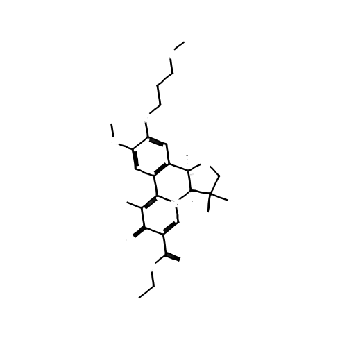 CCOC(=O)c1cn2c(c(F)c1=O)-c1cc(OC)c(OCCCOC)cc1[C@H]1OCC(C)(C)[C@H]12